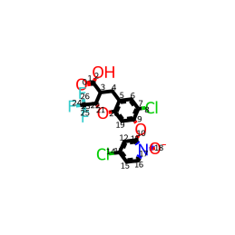 O=C(O)C1Cc2cc(Cl)c(Oc3cc(Cl)cc[n+]3[O-])cc2OC1C(F)(F)F